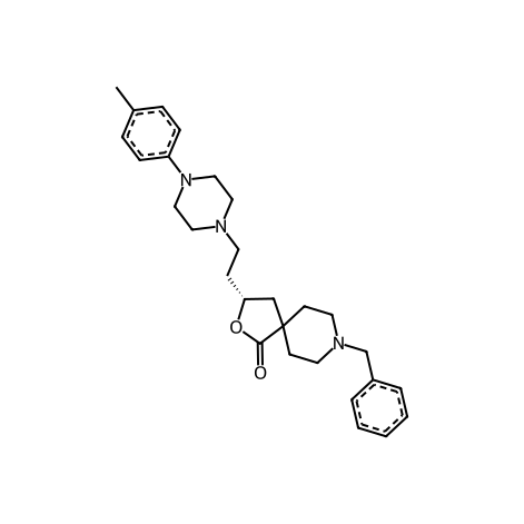 Cc1ccc(N2CCN(CC[C@@H]3CC4(CCN(Cc5ccccc5)CC4)C(=O)O3)CC2)cc1